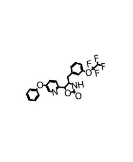 O=C1NC(Cc2cccc(OC(F)(F)C(F)F)c2)C(c2ccc(Oc3ccccc3)cn2)O1